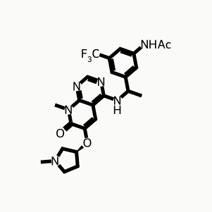 CC(=O)Nc1cc(C(C)Nc2ncnc3c2cc(O[C@H]2CCN(C)C2)c(=O)n3C)cc(C(F)(F)F)c1